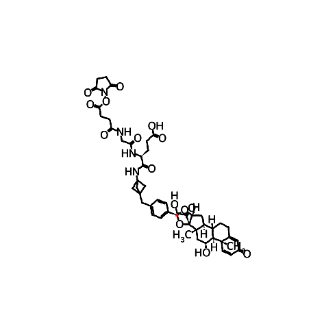 C[C@]12C=CC(=O)C=C1CC[C@@H]1[C@@H]2[C@@H](O)C[C@@]2(C)[C@H]1C[C@H]1O[C@H](c3ccc(CC45CC(NC(=O)[C@H](CCC(=O)O)NC(=O)CNC(=O)CCC(=O)ON6C(=O)CCC6=O)(C4)C5)cc3)O[C@]12C(=O)CO